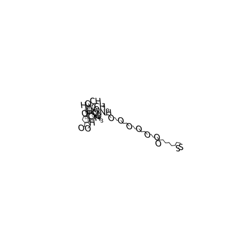 CC(C)[C@]12O[C@H]1[C@@H]1O[C@]13[C@]1(O[C@H]1C[C@H]1C4=C(CC[C@@]13C)C(=O)OC4)[C@@H]2OC(=O)NCCOCCOCCOCCOCCOCCOC(=O)CCCCC1CCSS1